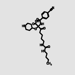 CCCCNC(=O)NCCCCC(=O)C(NC(=O)c1ccc(C#N)cc1)(OC1CCNCC1)C(=O)O